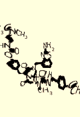 COc1ccc(CNC(=O)N(C)N2CC(=O)N3[C@@H](Cc4ccc(OC(=O)NCCN(C)C)cc4)C(=O)N(Cc4cccc5sc(N)nc45)C[C@@H]32)cc1